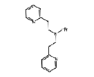 CCCN(CCc1ccccn1)CCc1ccccn1